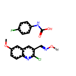 O=C(O)Nc1ccc(F)cc1.[2H]ON=Cc1cc2cc(OC)ccc2nc1Cl